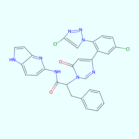 O=C(Nc1ccc2[nH]ccc2n1)C(Cc1ccccc1)n1cnc(-c2cc(Cl)ccc2-n2cc(Cl)nn2)cc1=O